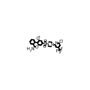 COc1cc(S(=O)(=O)N2CCN(c3cc(C(F)(F)F)cc(Cl)n3)CC2)ccc1-c1ccccc1C(N)=O